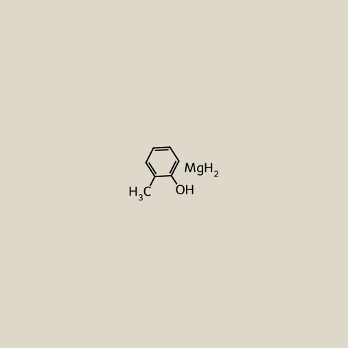 Cc1ccccc1O.[MgH2]